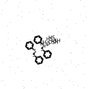 O.O.SS.SS.c1ccc(SSc2ccccc2)cc1.c1ccc(SSc2ccccc2)cc1